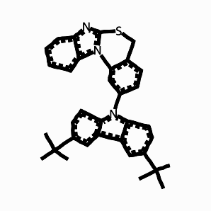 CC(C)(C)c1ccc2c(c1)c1cc(C(C)(C)C)ccc1n2-c1ccc2c(c1)-n1c(nc3ccccc31)SC2